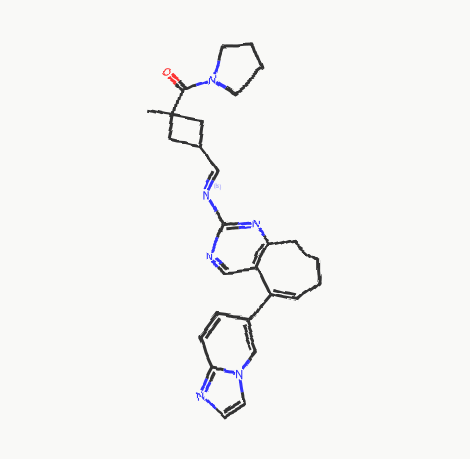 CC1(C(=O)N2CCCC2)CC(/C=N/c2ncc3c(n2)CCCC=C3c2ccc3nccn3c2)C1